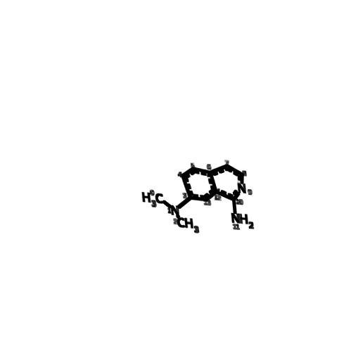 CN(C)c1ccc2ccnc(N)c2c1